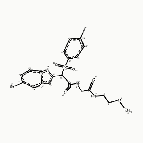 COCCNC(=O)CNC(=O)C(c1nc2ccc(Br)cc2s1)S(=O)(=O)c1ccc(F)cc1